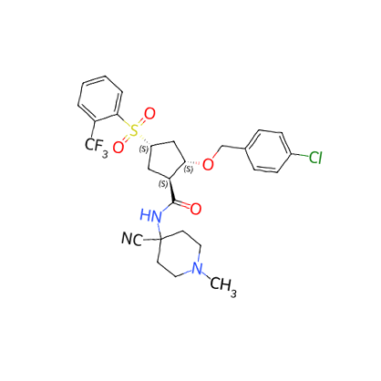 CN1CCC(C#N)(NC(=O)[C@H]2C[C@H](S(=O)(=O)c3ccccc3C(F)(F)F)C[C@@H]2OCc2ccc(Cl)cc2)CC1